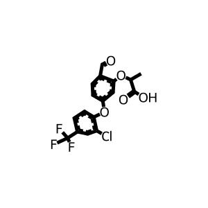 CC(Oc1cc(Oc2ccc(C(F)(F)F)cc2Cl)ccc1C=O)C(=O)O